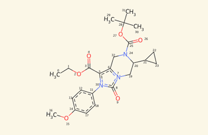 CCOC(=O)c1c2n(c(=O)n1-c1ccc(OC)cc1)CC(C1CC1)N(C(=O)OC(C)(C)C)C2